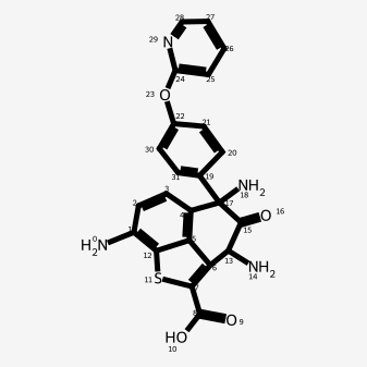 Nc1ccc2c3c(c(C(=O)O)sc13)C(N)C(=O)C2(N)c1ccc(Oc2ccccn2)cc1